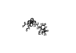 C=CCOP(=O)(OCC=C)OCCCc1cccc(C(C)(C)CC)c1